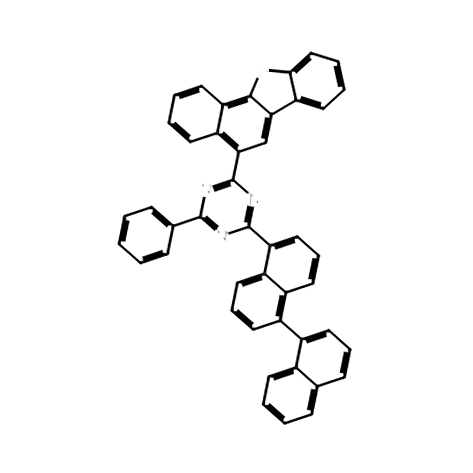 c1ccc(-c2nc(-c3cccc4c(-c5cccc6ccccc56)cccc34)nc(-c3cc4c5ccccc5oc4c4ccccc34)n2)cc1